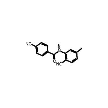 Cc1ccc(C#N)c(N(C)C(=O)c2ccc(C#N)cc2)c1